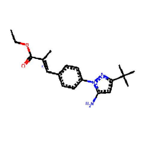 CCOC(=O)/C(C)=C/c1ccc(-n2nc(C(C)(C)C)cc2N)cc1